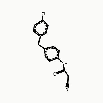 N#CCC(=O)Nc1ccc(Cc2ccc(Cl)cc2)cc1